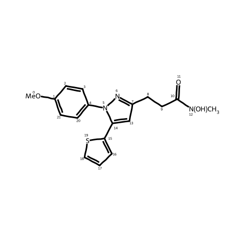 COc1ccc(-n2nc(CCC(=O)N(C)O)cc2-c2cccs2)cc1